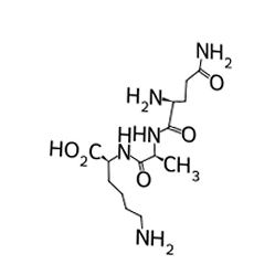 C[C@H](NC(=O)[C@@H](N)CCC(N)=O)C(=O)N[C@@H](CCCCN)C(=O)O